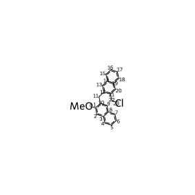 COc1cc2ccccc2cc1Cc1cc2ccccc2cc1CCl